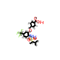 CC(C)C(C)S(=O)(=O)Nc1ccc(C(F)(F)F)cc1OCc1ccc(C(=O)O)cc1